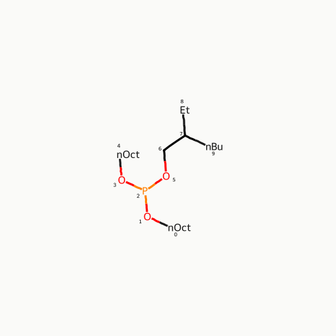 CCCCCCCCOP(OCCCCCCCC)OCC(CC)CCCC